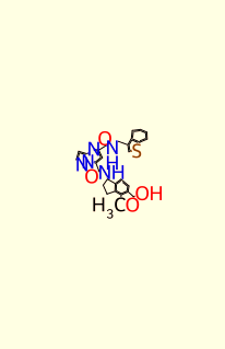 Cc1c(C(=O)O)ccc2c1CC[C@@H]2NC(=O)c1cc(C(=O)NCc2csc3ccccc23)nc2ccnn12